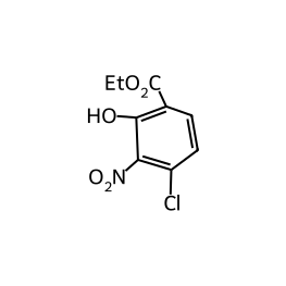 CCOC(=O)c1ccc(Cl)c([N+](=O)[O-])c1O